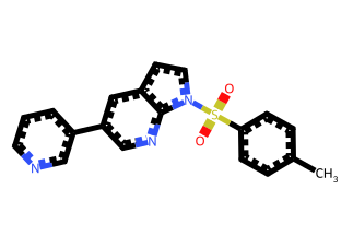 Cc1ccc(S(=O)(=O)n2ccc3cc(-c4cccnc4)cnc32)cc1